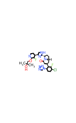 CC(C)(O)COc1nccc(-c2c[nH]c([C@@H]3CC[C@@H]4CC(c5c(-n6cnnn6)ccc(Cl)c5F)=CC(=O)N43)n2)c1F